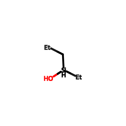 CCC[SiH](O)CC